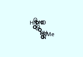 CNc1ncccc1CNc1ccc2c(c1)Cc1cccc(-c3cc(N4CCOCC4)cc(=O)[nH]3)c1O2